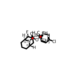 CC(C)(C)OC(=O)N1[C@H]2CCC[C@H]1[C@@H](F)[C@@H](Oc1ccc(Cl)nn1)C2